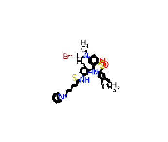 CCCCC1(CCCC)CS(=O)(=O)c2ccc(N(CC)CC)cc2C(c2cccc(NC(=S)CCCCC[N+]34CCC(CC3)CC4)c2)N1.[Br-]